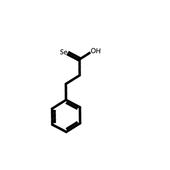 OC(=[Se])CCc1ccccc1